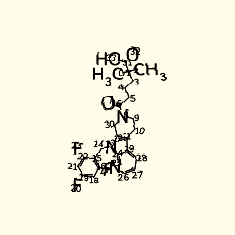 CC(C)(CCCC(=O)N1CCc2c(n(Cc3c(F)cc(F)cc3F)c3ncccc23)C1)C(=O)O